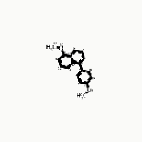 COc1ccc(-c2cccc3c(OC)cccc23)cc1